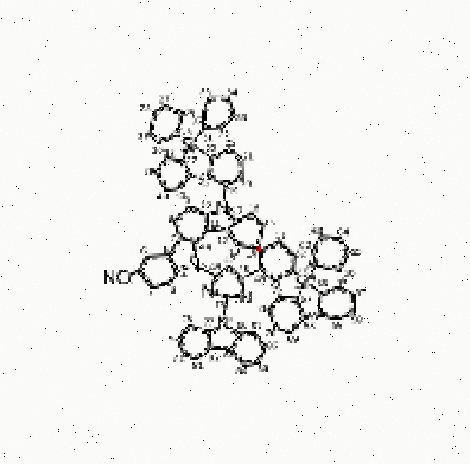 N#Cc1ccc2c(c1)c1ccc3c(c4ccccc4n3-c3cccc([Si](c4ccccc4)(c4ccccc4)c4ccccc4)c3)c1n2-c1cc(-c2cccc([Si](c3ccccc3)(c3ccccc3)c3ccccc3)c2)nc(-n2c3ccccc3c3ccccc32)n1